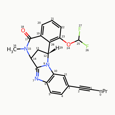 CCCC#Cc1ccc2nc3n(c2c1)[C@@H]1CC3N(C)C(=O)c2cccc(OC(F)F)c21